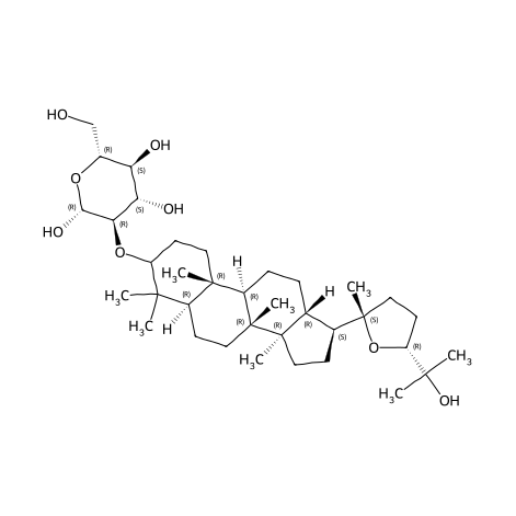 CC(C)(O)[C@H]1CC[C@@](C)([C@H]2CC[C@]3(C)[C@@H]2CC[C@@H]2[C@@]4(C)CCC(O[C@@H]5[C@@H](O)[C@H](O)[C@@H](CO)O[C@H]5O)C(C)(C)[C@@H]4CC[C@]23C)O1